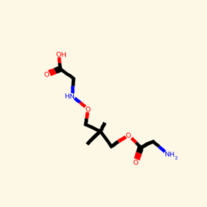 CC(C)(CONCC(=O)O)COC(=O)CN